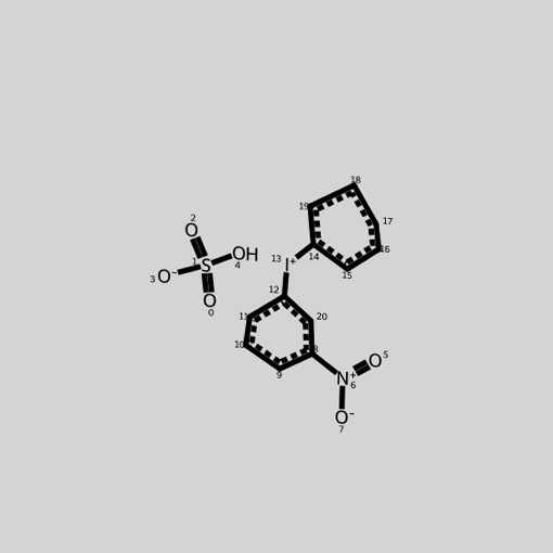 O=S(=O)([O-])O.O=[N+]([O-])c1cccc([I+]c2ccccc2)c1